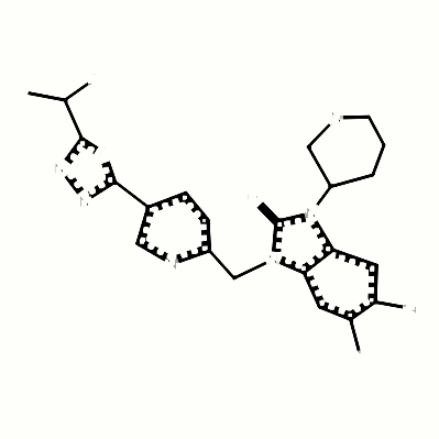 O=c1n(Cc2ccc(-c3nnc(C(F)F)o3)cn2)c2cc(F)c(Br)cc2n1C1CCCNC1